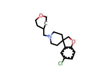 Clc1ccc2c(c1)C1(CCN(CC3CCOCC3)CC1)CO2